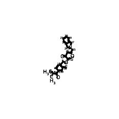 CN(C)C(=O)c1ccc(COc2coc(CN3Cc4ccccc4C3)cc2=O)c(F)c1